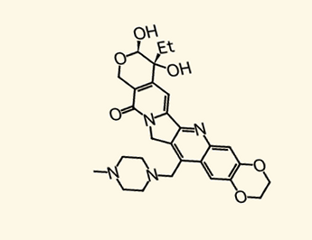 CC[C@@]1(O)c2cc3n(c(=O)c2CO[C@H]1O)Cc1c-3nc2cc3c(cc2c1CN1CCN(C)CC1)OCCO3